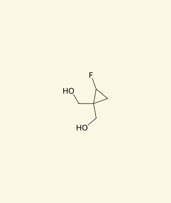 OCC1(CO)CC1F